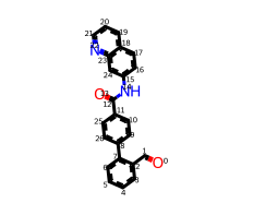 O=Cc1ccccc1-c1ccc(C(=O)Nc2ccc3cccnc3c2)cc1